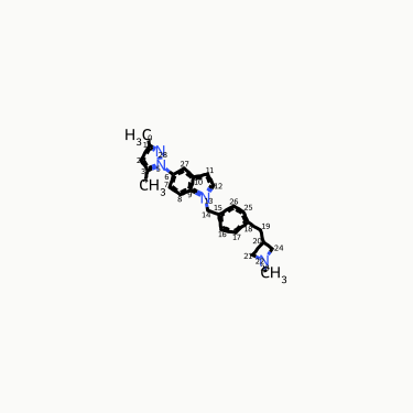 Cc1cc(C)n(-c2ccc3c(ccn3Cc3ccc(CC4CN(C)C4)cc3)c2)n1